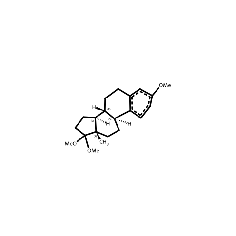 COc1ccc2c(c1)CC[C@@H]1[C@@H]2CC[C@@]2(C)[C@H]1CCC2(OC)OC